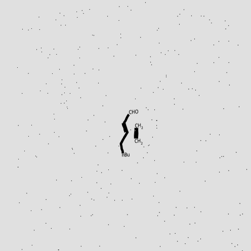 C=C.CCCCCC=CC=O